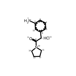 Cl.Nc1cccc(CC(=O)N2CCCC2)c1